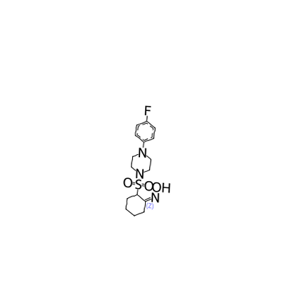 O=S(=O)(C1CCCC/C1=N/O)N1CCN(c2ccc(F)cc2)CC1